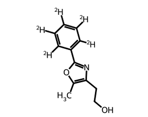 [2H]c1c([2H])c([2H])c(-c2nc(CCO)c(C)o2)c([2H])c1[2H]